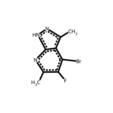 Cc1nc2[nH]nc(C)c2c(Br)c1F